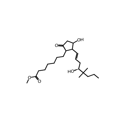 CCCC(C)(C)[C@@H](O)C/C=C/C1C(O)CC(=O)C1CCCCCCC(=O)OC